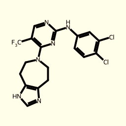 FC(F)(F)c1cnc(Nc2ccc(Cl)c(Cl)c2)nc1N1CCc2nc[nH]c2CC1